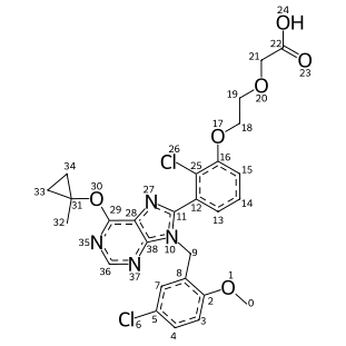 COc1ccc(Cl)cc1Cn1c(-c2cccc(OCCOCC(=O)O)c2Cl)nc2c(OC3(C)CC3)ncnc21